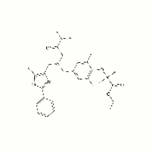 CCOC(=O)C(C)(C)Oc1c(C)cc(CN(CC(=O)N(C)C)Cc2nc(-c3ccccc3)oc2C)cc1C